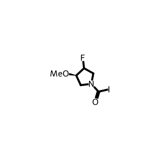 CO[C@@H]1CN(C(=O)I)CC1F